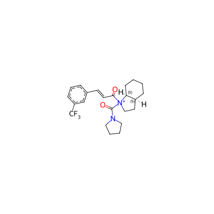 O=C(C=Cc1cccc(C(F)(F)F)c1)[N+]1(C(=O)N2CCCC2)CC[C@@H]2CCCC[C@@H]21